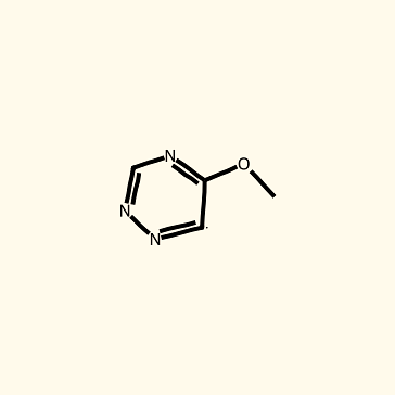 COc1[c]nncn1